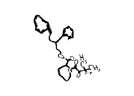 CCC(C)(C)C(=O)C(=O)N1CCCCC1C(=O)OCCC(CCc1ccccc1)c1ccccc1